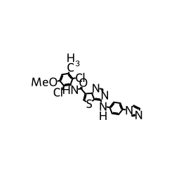 COc1cc(C)c(Cl)c(NC(=O)c2csc3c(Nc4ccc(-n5ccnc5)cc4)ncnc23)c1Cl